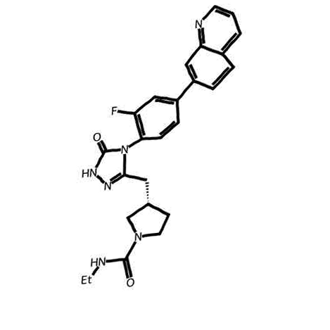 CCNC(=O)N1CC[C@@H](Cc2n[nH]c(=O)n2-c2ccc(-c3ccc4cccnc4c3)cc2F)C1